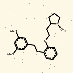 COc1cc(CCc2ccccc2OCCC2CCCN2C)cc(OC)c1